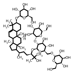 C[C@H](CC[C@@H](O[C@@H]1O[C@H](CO[C@H]2O[C@H](CO)[C@@H](O)[C@H](O)[C@H]2O)[C@@H](O)[C@H](O)[C@H]1O[C@H]1O[C@@H](CO)[C@H](O)[C@@H](O)[C@@H]1O)C(C)(C)O)C1CC[C@@]2(C)C3CC=C4C(CC[C@H](O[C@@H]5O[C@H](CO)[C@@H](O)[C@H](O)[C@H]5O)C4(C)C)[C@]3(C)[C@H](O)C[C@]12C